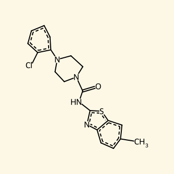 Cc1ccc2nc(NC(=O)N3CCN(c4ccccc4Cl)CC3)sc2c1